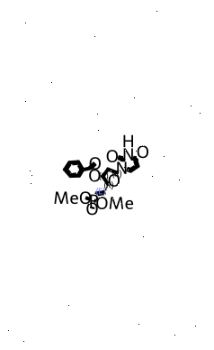 COP(=O)(/C=C/[C@H]1O[C@@H](n2ccc(=O)[nH]c2=O)C[C@@H]1OC(=O)c1ccccc1)OC